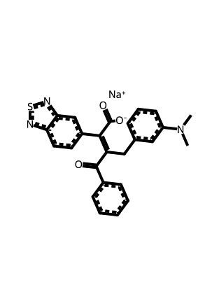 CN(C)c1cccc(CC(C(=O)c2ccccc2)=C(C(=O)[O-])c2ccc3nsnc3c2)c1.[Na+]